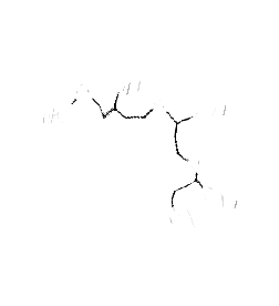 CCCCOCC(O)COC(C)COC(C)CO